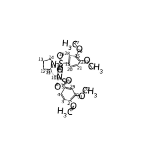 COc1ccc(S(=O)(=O)NC[C@@H]2CCCN2S(=O)(=O)c2ccc(OC)c(OC)c2)cc1OC